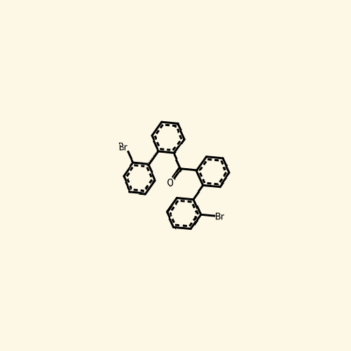 O=C(c1ccccc1-c1ccccc1Br)c1ccccc1-c1ccccc1Br